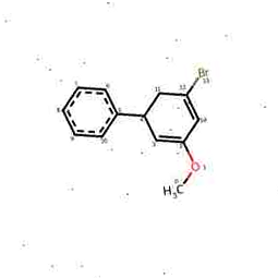 COC1=CC(c2ccccc2)CC(Br)=C1